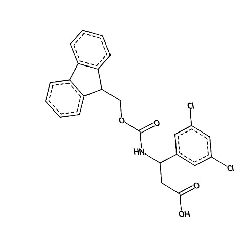 O=C(O)CC(NC(=O)OCC1c2ccccc2-c2ccccc21)c1cc(Cl)cc(Cl)c1